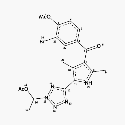 COc1ccc(C(=O)c2c(C)[nH]c(-c3nnn(C(C)OC(C)=O)n3)c2C)cc1Br